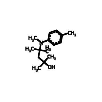 Cc1ccc(N(C)C(C)(C)CC(C)(C)O)cc1